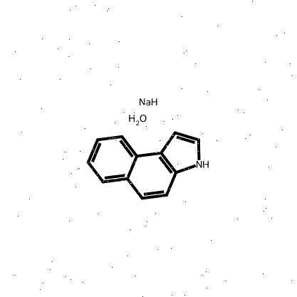 O.[NaH].c1ccc2c(c1)ccc1[nH]ccc12